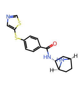 O=C(N[C@@H]1C[C@H]2CC[C@@H]1N2)c1ccc(Sc2cncs2)cc1